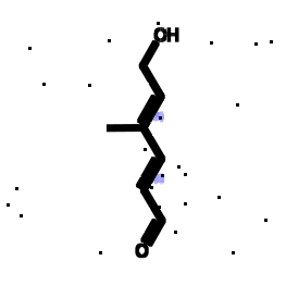 CC(/C=C/C=O)=C\CO